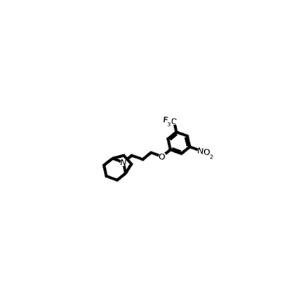 O=[N+]([O-])c1cc(OCCCN2C3CCCC2CC3)cc(C(F)(F)F)c1